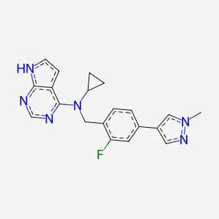 Cn1cc(-c2ccc(CN(c3ncnc4[nH]ccc34)C3CC3)c(F)c2)cn1